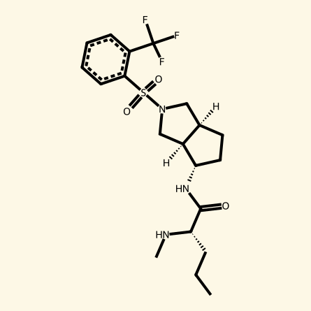 CCC[C@H](NC)C(=O)N[C@H]1CC[C@@H]2CN(S(=O)(=O)c3ccccc3C(F)(F)F)C[C@@H]21